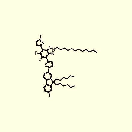 CCCCCCCCCCCCn1nc2c(-c3ccc(C)s3)c(F)c(F)c(-c3ccc(-c4ccc5c(c4)C(CCCCCC)(CCCCCC)c4cc(C)ccc4-5)s3)c2n1